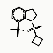 CC(C)(C)c1cccc2c1N(S(=O)(=O)C1CCC1)CC2